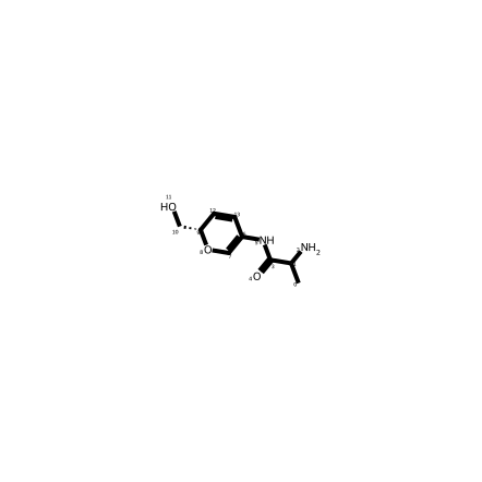 CC(N)C(=O)NC1=CO[C@H](CO)C=C1